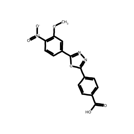 COc1cc(-c2nnc(-c3ccc(C(=O)O)cc3)o2)ccc1[N+](=O)[O-]